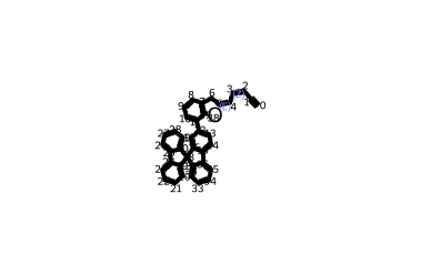 C#C/C=C\C=C1/Cc2cccc(-c3ccc4c(c3)C3(c5ccccc5-c5ccccc53)c3ccccc3-4)c2O1